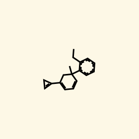 CCc1ccccc1C1(C)C=CC=C(C2=CC2)C1